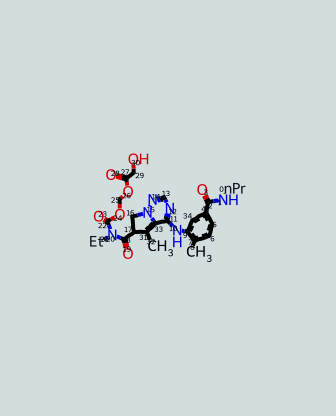 CCCNC(=O)c1ccc(C)c(NC2=NC=NN3CC(C(=O)N(CC)C(=O)OCOC(=O)CO)C(C)=C23)c1